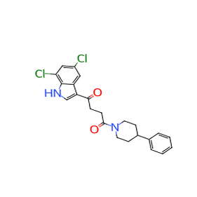 O=C(CCC(=O)N1CCC(c2ccccc2)CC1)c1c[nH]c2c(Cl)cc(Cl)cc12